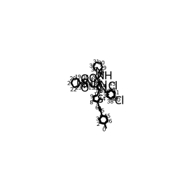 Cc1ccc(C#Cc2ccc(-c3c(CNS(=O)(=O)N4CCCCC4)c(C(=O)NN4CCCCC4)nn3-c3ccc(Cl)cc3Cl)s2)cc1